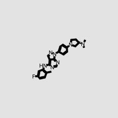 Cc1ccc(F)cc1Nc1ncnc2c1cnn2-c1ccc(N2CC[C@@H](N(C)C)C2)cc1